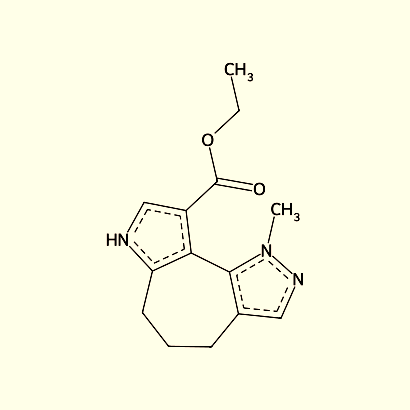 CCOC(=O)c1c[nH]c2c1-c1c(cnn1C)CCC2